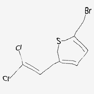 ClC(Cl)=Cc1ccc(Br)s1